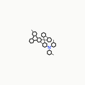 Cc1cccc(N(c2cccc(C)c2)c2ccc3c(c2)C2(c4ccccc4-c4ccccc42)c2cc4c5ccc(C)cc5c5ccccc5c4cc2-3)c1